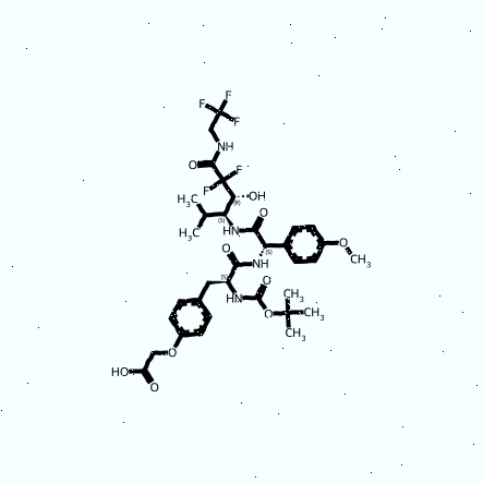 COc1ccc([C@H](NC(=O)[C@H](Cc2ccc(OCC(=O)O)cc2)NC(=O)OC(C)(C)C)C(=O)N[C@@H](C(C)C)[C@@H](O)C(F)(F)C(=O)NCC(F)(F)F)cc1